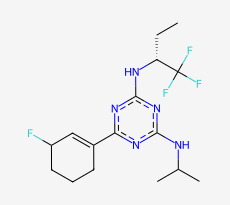 CC[C@@H](Nc1nc(NC(C)C)nc(C2=CC(F)CCC2)n1)C(F)(F)F